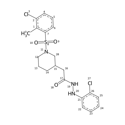 Cc1c(Cl)cccc1S(=O)(=O)N1CCCC(CC(=O)NNc2ccccc2Cl)C1